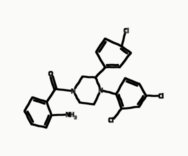 Nc1ccccc1C(=O)N1CCN(c2ccc(Cl)cc2Cl)C(c2ccc(Cl)cc2)C1